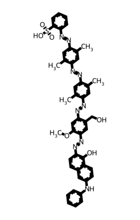 COc1cc(N=Nc2cc(C)c(N=Nc3cc(C)c(N=Nc4ccccc4S(=O)(=O)O)cc3C)cc2C)c(CO)cc1N=Nc1ccc2cc(Nc3ccccc3)ccc2c1O